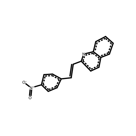 O=[N+]([O-])c1ccc(/C=C/c2ccc3ccccc3n2)cc1